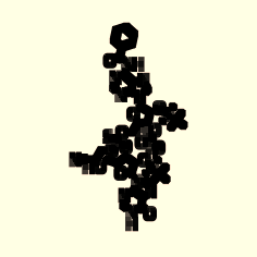 CC(C)(C)[Si](C)(C)O[C@H]1C(n2cnc3c(NC(=O)c4ccccc4)ncnc32)OC(COP(=S)(OCCC#N)O[C@@H]2C(CO)OC(n3cnc4c(=O)[nH]cnc43)[C@@H]2O[Si](C)(C)C(C)(C)C)[C@H]1O[PH](=O)O